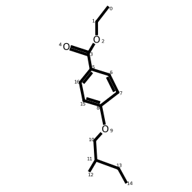 CCOC(=O)c1ccc(OCC(C)CC)cc1